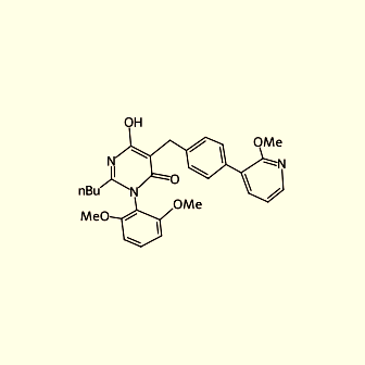 CCCCc1nc(O)c(Cc2ccc(-c3cccnc3OC)cc2)c(=O)n1-c1c(OC)cccc1OC